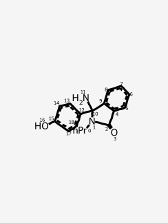 CCCN1C(=O)c2ccccc2C1(N)c1ccc(O)cc1